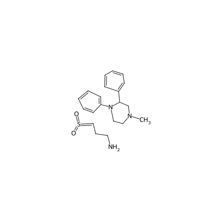 CN1CCN(c2ccccc2)C(c2ccccc2)C1.NCCC=S(=O)=O